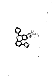 NS(=O)(=O)Cc1ccc2c(c1)C(c1ccccc1)Oc1cccc(-c3ccco3)c1-2